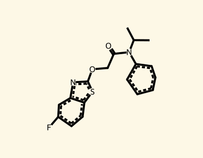 CC(C)N(C(=O)COc1nc2cc(F)ccc2s1)c1ccccc1